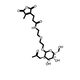 CC(=O)C[C@H]1C(OCCOCCNC(=O)CCC2=C(C)C(=O)OC2=O)O[C@H](CO)[C@H](O)[C@@H]1O